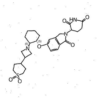 O=C1CCC(N2Cc3cc(O[C@H]4CCCC[C@@H]4N4CC(C5CCS(=O)(=O)CC5)C4)ccc3C2=O)C(=O)N1